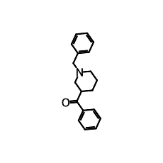 O=C(c1ccccc1)C1CCCN(Cc2ccccc2)C1